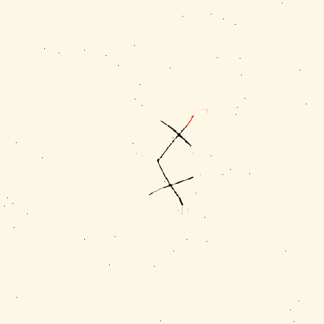 [2H]C([2H])([2H])[C@H](CCC)C([2H])([2H])O